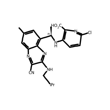 Cc1cc([C@@H](C)Nc2ccc(Cl)nc2C(=O)O)c2nc(NCC(C)C)c(C#N)nc2c1